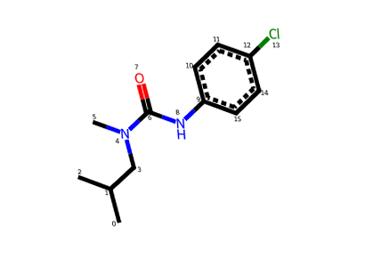 CC(C)CN(C)C(=O)Nc1ccc(Cl)cc1